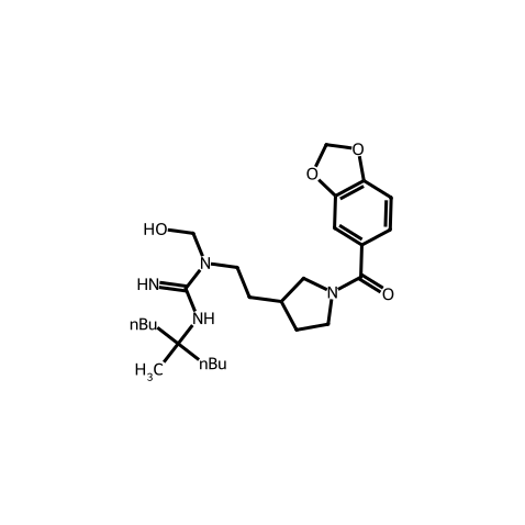 CCCCC(C)(CCCC)NC(=N)N(CO)CCC1CCN(C(=O)c2ccc3c(c2)OCO3)C1